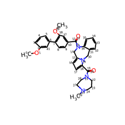 COc1cccc(-c2ccc(C(=O)N3Cc4ccc(C(=O)N5CCCN(C)CC5)n4Cc4ccccc43)cc2OC)c1